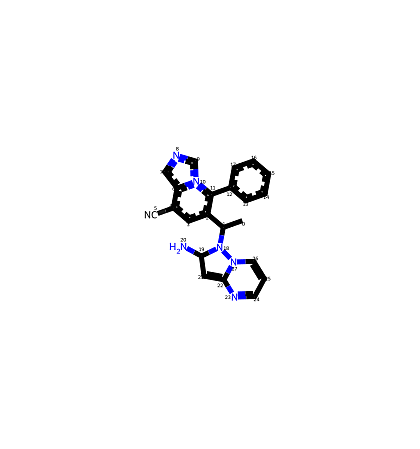 CC(c1cc(C#N)c2cncn2c1-c1ccccc1)N1C(N)C=C2N=CC=CN21